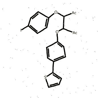 CC(=O)C(Oc1ccc(I)cc1)C(Oc1ccc(-c2cccs2)cc1)C(C)=O